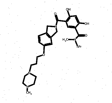 CCCN(C)C(=O)c1cc(C(=O)N2Cc3ccc(OCCCN4CCN(C)CC4)cc3C2)c(O)cc1O